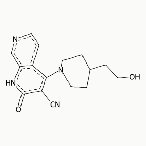 N#Cc1c(N2CCC(CCO)CC2)c2ccncc2[nH]c1=O